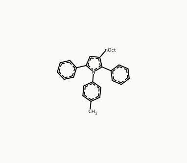 CCCCCCCCc1cc(-c2ccccc2)n(-c2ccc(C)cc2)c1-c1ccccc1